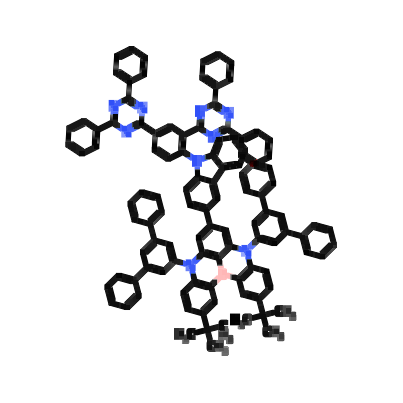 CC(C)(C)c1ccc2c(c1)B1c3cc(C(C)(C)C)ccc3N(c3cc(-c4ccccc4)cc(-c4ccccc4)c3)c3cc(-c4ccc5c(c4)c4ccccc4n5-c4ccc(-c5nc(-c6ccccc6)nc(-c6ccccc6)n5)cc4-c4nc(-c5ccccc5)nc(-c5ccccc5)n4)cc(c31)N2c1cc(-c2ccccc2)cc(-c2ccccc2)c1